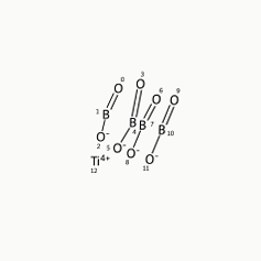 O=B[O-].O=B[O-].O=B[O-].O=B[O-].[Ti+4]